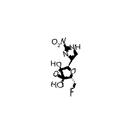 O=[N+]([O-])c1nc([C@H]2O[C@H](CF)[C@]3(O)O[C@]23O)c[nH]1